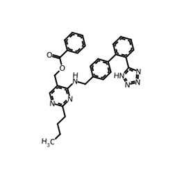 CCCCc1ncc(COC(=O)c2ccccc2)c(NCc2ccc(-c3ccccc3-c3nnn[nH]3)cc2)n1